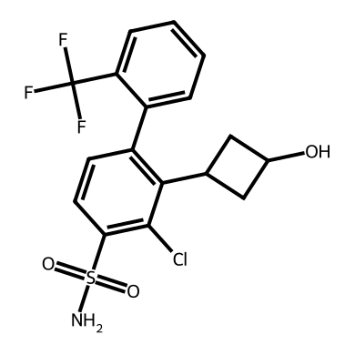 NS(=O)(=O)c1ccc(-c2ccccc2C(F)(F)F)c(C2CC(O)C2)c1Cl